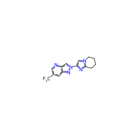 FC(F)(F)c1cnc2cn(-c3cn4c(n3)CCCC4)nc2c1